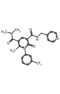 Cc1c(C(=O)N(C)C)cc(C(=O)NCc2ccncc2)c(=O)n1-c1cccc(C(F)(F)F)c1